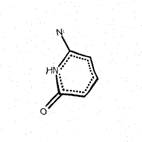 [N]c1cccc(=O)[nH]1